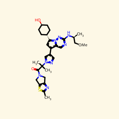 COC[C@H](C)Nc1ncc2c(-c3cnn(C(C)(C)C(=O)N4Cc5nc(C)sc5C4)c3)cc([C@H]3CC[C@H](O)CC3)n2n1